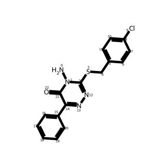 Nn1c(SCc2ccc(Cl)cc2)nnc(-c2ccccc2)c1=O